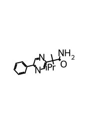 CC(C)C(C)(C(N)=O)c1cnc(-c2ccccc2)cn1